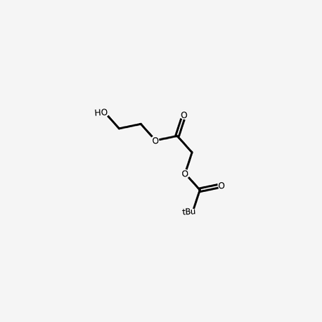 CC(C)(C)C(=O)OCC(=O)OCCO